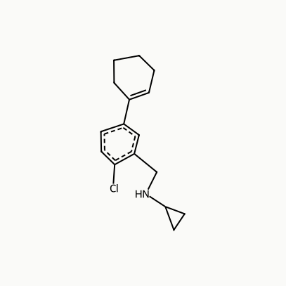 Clc1ccc(C2=CCCCC2)cc1CNC1CC1